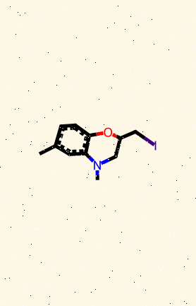 Cc1ccc2c(c1)N(C)CC(CI)O2